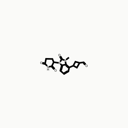 Cn1c(=O)n(C2CCC(=O)NC2=O)c2cccc(C3CC(C=O)C3)c21